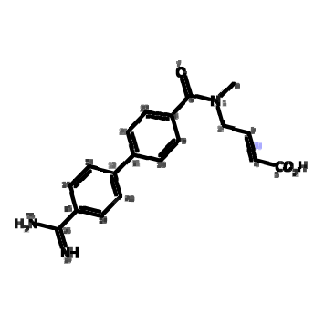 CN(C/C=C/C(=O)O)C(=O)c1ccc(-c2ccc(C(=N)N)cc2)cc1